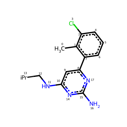 Cc1c(Cl)cccc1-c1cc(NCC(C)C)nc(N)n1